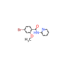 COc1cc(Br)ccc1C(=O)Nc1ccccn1